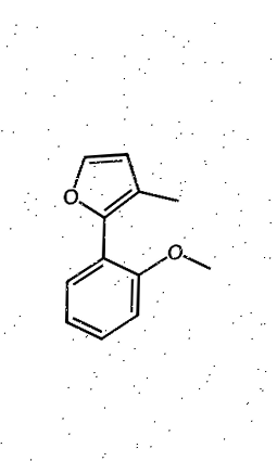 COc1ccccc1-c1occc1C